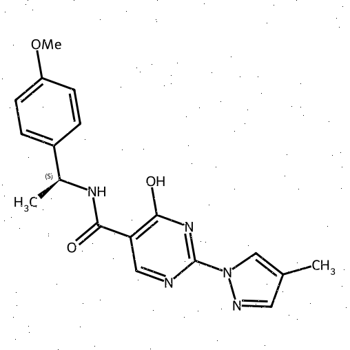 COc1ccc([C@H](C)NC(=O)c2cnc(-n3cc(C)cn3)nc2O)cc1